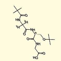 [2H]C([2H])(NC(=O)C(C)(C)C)C(=O)N[C@H](COC(C)(C)C)C(=O)NCC(=O)O